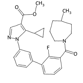 COC(=O)c1cnn(-c2cccc(-c3cccc(C(=O)N4CCCC(C)CC4)c3F)c2)c1C1CC1